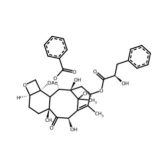 CC(=O)O[C@@]12CO[C@@H]1CC[C@@]1(C)C(=O)[C@H](O)C3=C(C)C(OC(=O)[C@H](O)Cc4ccccc4)C[C@@](O)([C@@H](OC(=O)c4ccccc4)C12)C3(C)C